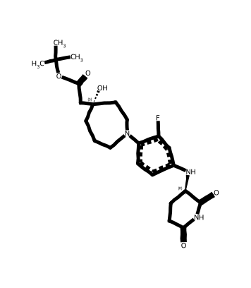 CC(C)(C)OC(=O)C[C@]1(O)CCCN(c2ccc(N[C@@H]3CCC(=O)NC3=O)cc2F)CC1